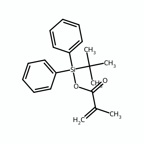 C=C(C)C(=O)O[Si](c1ccccc1)(c1ccccc1)C(C)(C)C